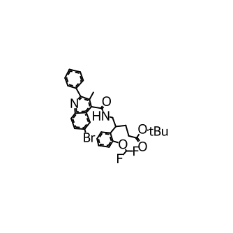 Cc1c(-c2ccccc2)nc2ccc(Br)cc2c1C(=O)NCC(CCC(=O)OC(C)(C)C)c1ccccc1OC(F)F